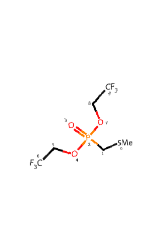 CSCP(=O)(OCC(F)(F)F)OCC(F)(F)F